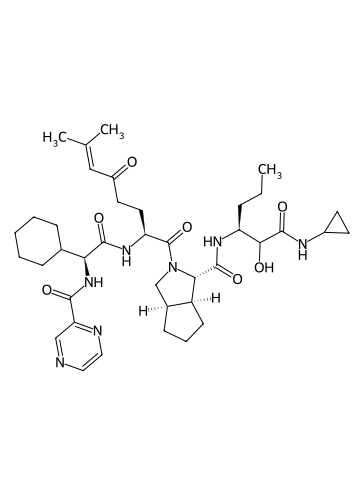 CCC[C@H](NC(=O)[C@@H]1[C@H]2CCC[C@H]2CN1C(=O)[C@H](CCC(=O)C=C(C)C)NC(=O)[C@@H](NC(=O)c1cnccn1)C1CCCCC1)C(O)C(=O)NC1CC1